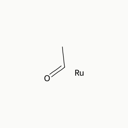 CC=O.[Ru]